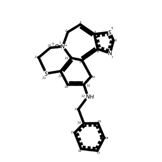 [O-][N+]12CC=c3scnc3=C3CC(NCc4ccccc4)=CC(=C31)SCC2